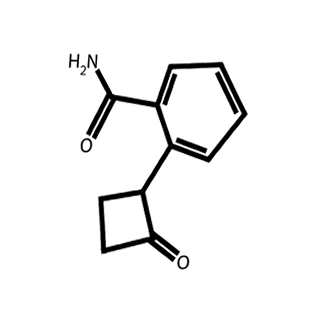 NC(=O)c1ccccc1C1CCC1=O